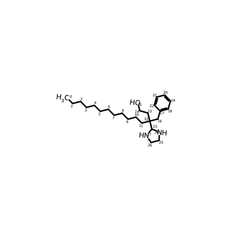 CCCCCCCCCCCCC(CCO)(Cc1ccccc1)C1NCCN1